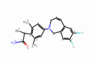 Cc1cc(N2CC=Cc3cc(F)c(F)cc3C2)cc(C)c1C(C(N)=O)C(C)(C)C